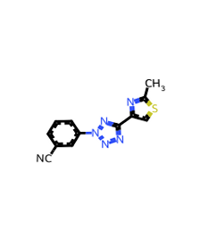 Cc1nc(-c2nnn(-c3cccc(C#N)c3)n2)cs1